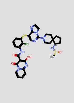 CC(C)(C)[S+]([O-])N[C@@H]1CCCC12CCN(c1ncc(Sc3cccc(NC(=O)c4c(O)nc5ccccn5c4=O)c3Cl)c3nccn13)CC2